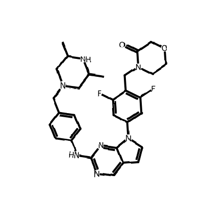 CC1CN(Cc2ccc(Nc3ncc4ccn(-c5cc(F)c(CN6CCOCC6=O)c(F)c5)c4n3)cc2)CC(C)N1